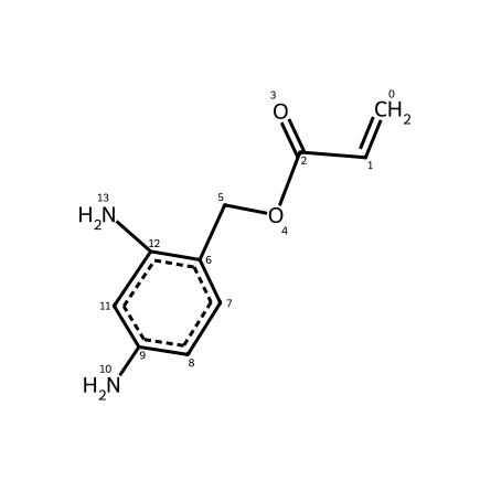 C=CC(=O)OCc1ccc(N)cc1N